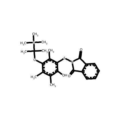 Cc1c(C)c(OC(C)(C)S(C)(C)C)c(C)c(SN2C(=O)c3ccccc3C2=O)c1O